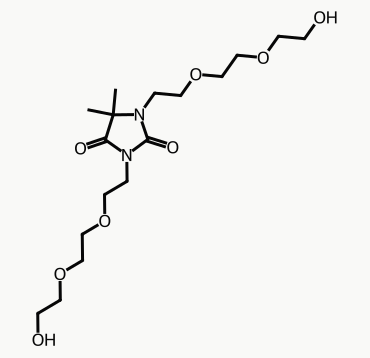 CC1(C)C(=O)N(CCOCCOCCO)C(=O)N1CCOCCOCCO